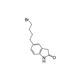 O=C1Cc2cc(CCCCBr)ccc2N1